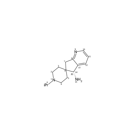 CC(C)N1CCC2(CC1)Cc1ncccc1[C@@H]2N